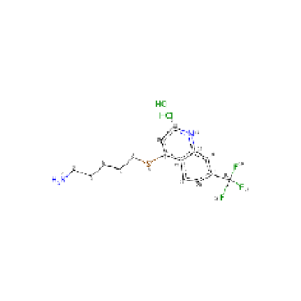 Cl.Cl.NCCCCCSc1ccnc2cc(C(F)(F)F)ccc12